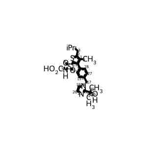 Cc1c(CC(C)C)sc(S(=O)(=O)NC(=O)O)c1-c1ccc(Cn2ccnc2C(C)(C)O)cc1